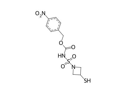 O=C(NS(=O)(=O)N1CC(S)C1)OCc1ccc([N+](=O)[O-])cc1